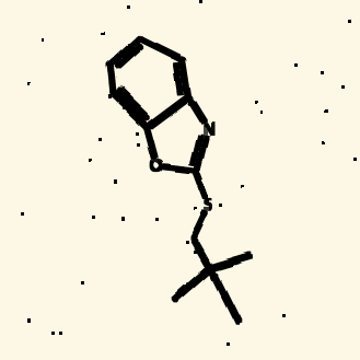 CC(C)(C)CSc1nc2ccccc2o1